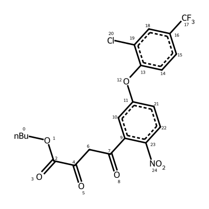 CCCCOC(=O)C(=O)CC(=O)c1cc(Oc2ccc(C(F)(F)F)cc2Cl)ccc1[N+](=O)[O-]